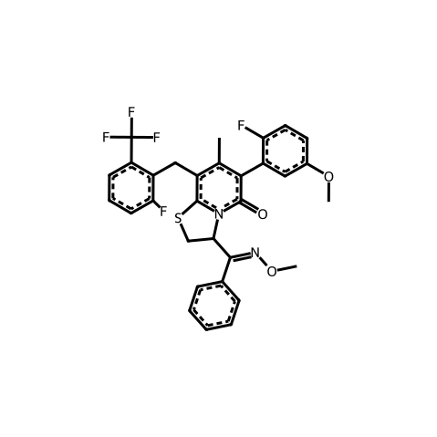 CON=C(c1ccccc1)C1CSc2c(Cc3c(F)cccc3C(F)(F)F)c(C)c(-c3cc(OC)ccc3F)c(=O)n21